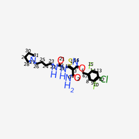 NC(=O)c1c(OCc2cc(F)c(Cl)cc2F)nsc1NC(=O)NCCCCN1CCCC1